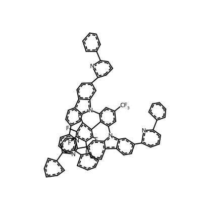 Fc1c(F)c(F)c(-c2c(-n3c4cc(-c5cccc(-c6ccccc6)n5)ccc4c4ccc(-c5cccc(-c6ccccc6)n5)cc43)cc(C(F)(F)F)cc2-n2c3cc(-c4cccc(-c5ccccc5)n4)ccc3c3ccc(-c4cccc(-c5ccccc5)n4)cc32)c(F)c1F